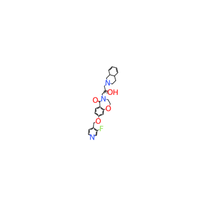 O=C1c2ccc(OCc3ccncc3F)cc2OCCN1C[C@H](O)CN1CCC2C=CC=CC2C1